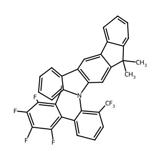 CC1(C)c2ccccc2-c2cc3c4ccccc4n(-c4c(-c5c(F)c(F)c(F)c(F)c5F)cccc4C(F)(F)F)c3cc21